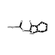 CCCCCCCC(=O)Oc1[nH]c2ccccc2c1F